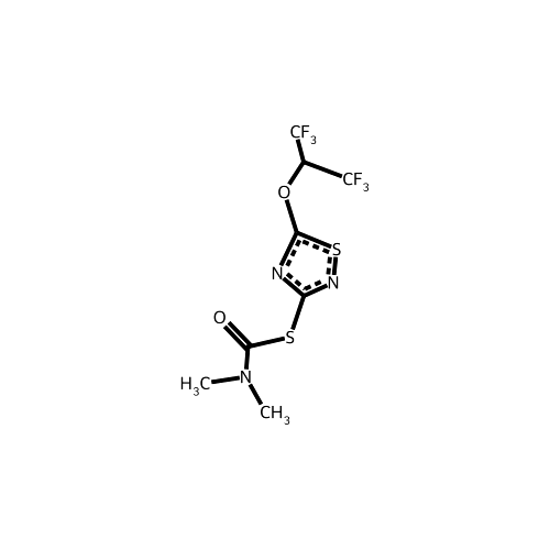 CN(C)C(=O)Sc1nsc(OC(C(F)(F)F)C(F)(F)F)n1